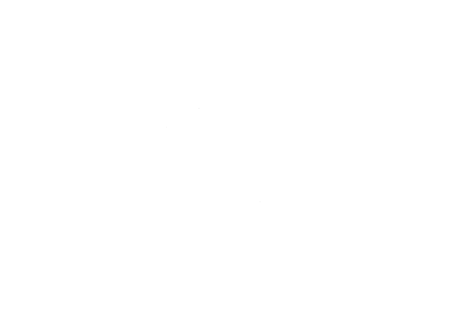 O=C(O)CCC(=O)C(=O)C(=O)O